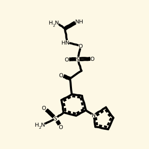 N=C(N)NOS(=O)(=O)CC(=O)c1cc(-n2cccc2)cc(S(N)(=O)=O)c1